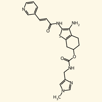 Cn1cnc(CNC(=O)OC2CCc3c(sc(NC(=O)/C=C/c4cccnc4)c3N)C2)c1